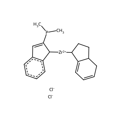 CP(C)C1=Cc2ccccc2[CH]1[Zr+2][CH]1CCC2CC=CC=C21.[Cl-].[Cl-]